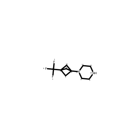 FC(F)(F)C12CC(N3CCNCC3)(C1)C2